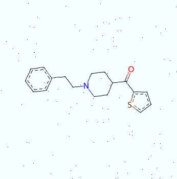 O=C(c1cccs1)C1CCN(CCc2ccccc2)CC1